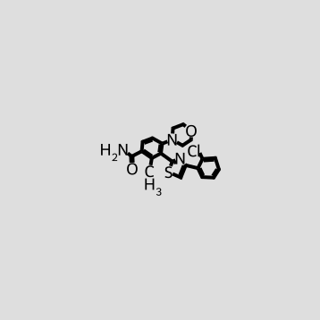 Cc1c(C(N)=O)ccc(N2CCOCC2)c1-c1nc(-c2ccccc2Cl)cs1